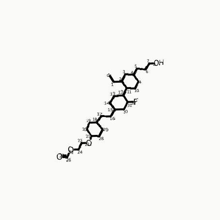 CCC1CC(CCCO)CCC1C1CCC(CCC2CCC(OCCOC=O)CC2)CC1F